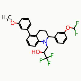 COc1cccc(-c2cccc3c2CCC(c2cccc(OC(F)F)c2)N3CC(O)C(F)(F)F)c1